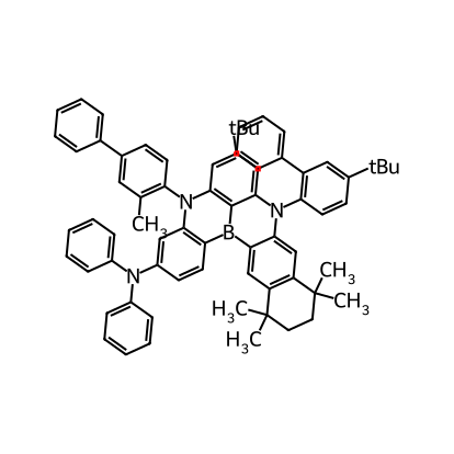 Cc1cc(-c2ccccc2)ccc1N1c2cc(N(c3ccccc3)c3ccccc3)ccc2B2c3cc4c(cc3N(c3ccc(C(C)(C)C)cc3-c3ccccc3)c3cc(C(C)(C)C)cc1c32)C(C)(C)CCC4(C)C